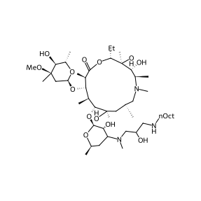 CCCCCCCCNCC(O)CN(C)C1C[C@@H](C)O[C@@H](O[C@@H]2[C@@H](C)[C@H](O[C@H]3C[C@@](C)(OC)[C@@H](O)[C@H](C)O3)[C@@H](C)C(=O)O[C@H](CC)[C@@](C)(O)[C@H](O)[C@@H](C)N(C)C[C@H](C)C[C@@]2(C)O)[C@@H]1O